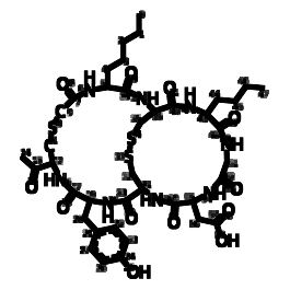 CCCCCC1NC(=O)CSCC(C(C)=O)NC(=O)C(Cc2ccc(O)cc2)NC(=O)C2CSSCC(NC1=O)C(=O)NC(CCCC)C(=O)NCC(=O)NC(CC(=O)O)C(=O)N2